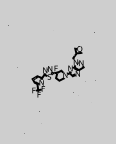 FC(F)(F)c1cccc(-c2nnc(C3(F)CCCN(c4cnc5cnn(CC6COC6)c5n4)C3)s2)n1